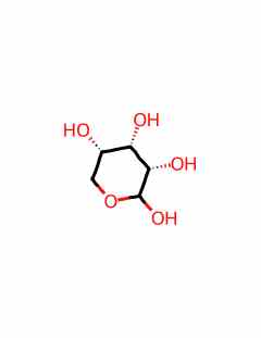 OC1OC[C@H](O)[C@H](O)[C@@H]1O